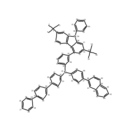 CC(C)(C)c1ccc2c3c(-c4cccc(N(c5ccc(-c6ccc(-c7ccccc7)cc6)cc5)c5ccc(-c6ccc7ccccc7c6)cc5)c4)cc(C(C)(C)C)cc3n(-c3ccccc3)c2c1